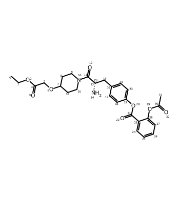 CCOC(=O)COC1CCN(C(=O)[C@@H](N)Cc2ccc(OC(=O)c3ccccc3OC(C)=O)cc2)CC1